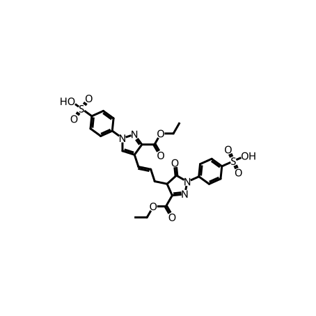 CCOC(=O)C1=NN(c2ccc(S(=O)(=O)O)cc2)C(=O)C1CC=Cc1cn(-c2ccc(S(=O)(=O)O)cc2)nc1C(=O)OCC